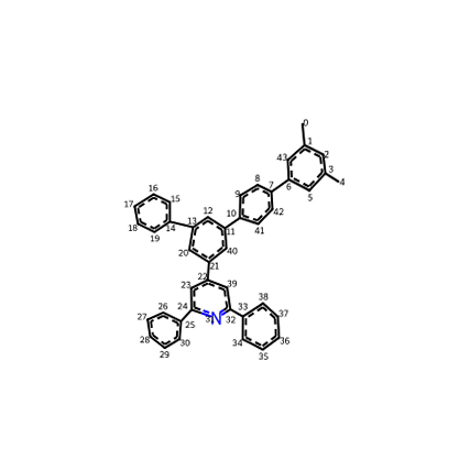 Cc1cc(C)cc(-c2ccc(-c3cc(-c4ccccc4)cc(-c4cc(-c5ccccc5)nc(-c5ccccc5)c4)c3)cc2)c1